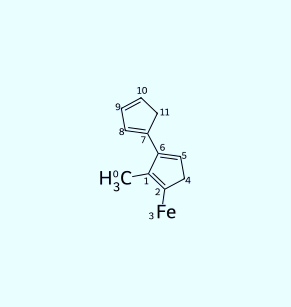 CC1=[C]([Fe])CC=C1C1=CC=CC1